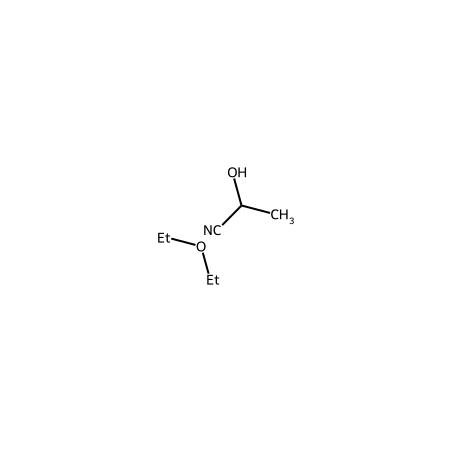 CC(O)C#N.CCOCC